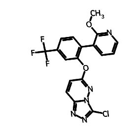 COc1ncccc1-c1ccc(C(F)(F)F)cc1Oc1ccc2nnc(Cl)n2n1